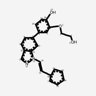 OCCOc1cc(-c2ccc3cnn(C=Cc4ccccc4)c3c2)ccc1O